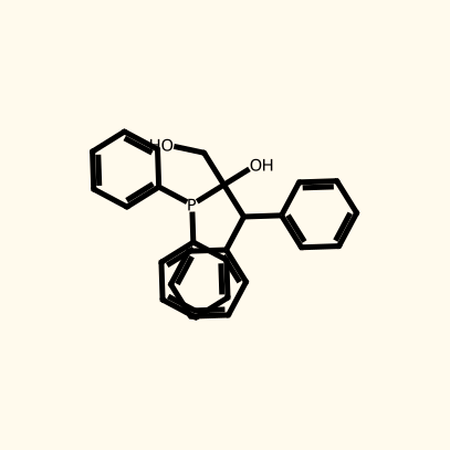 OCC(O)(C(c1ccccc1)c1ccccc1)P(c1ccccc1)c1ccccc1